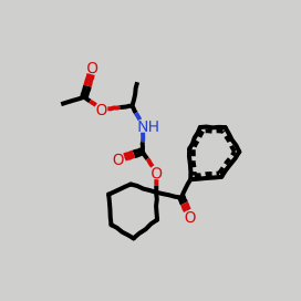 CC(=O)OC(C)NC(=O)OC1(C(=O)c2ccccc2)CCCCC1